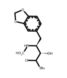 CC(C)(C)C(Cl)[C@@H](O)[C@H](Cc1ccc2c(c1)OCO2)NC(=O)O